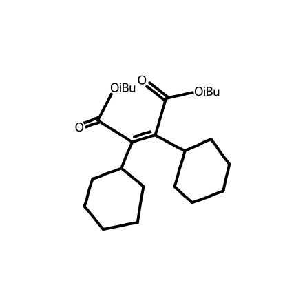 CC(C)COC(=O)C(=C(C(=O)OCC(C)C)C1CCCCC1)C1CCCCC1